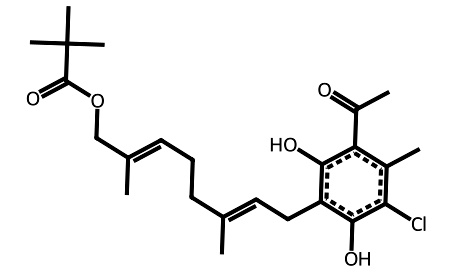 CC(=O)c1c(C)c(Cl)c(O)c(C/C=C(\C)CC/C=C(\C)COC(=O)C(C)(C)C)c1O